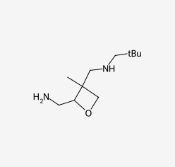 CC(C)(C)CNCC1(C)COC1CN